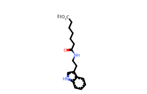 CCOC(=O)CCCCCC(=O)NCCc1c[nH]c2ccccc12